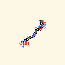 CCc1cc(Nc2ncc(Br)c(Nc3ccc4nccnc4c3P(C)(C)=O)n2)c(OC)cc1N1CCC(N2CCN(C[C@H]3C[C@H](N(C)c4ccc5c(c4)C(=O)N(C4CCC(=O)NC4O)C5=O)C3)CC2)CC1